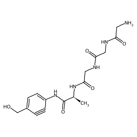 C[C@H](NC(=O)CNC(=O)CNC(=O)CN)C(=O)Nc1c#cc(CO)cc1